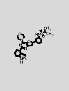 CC(C)S(=O)(=O)Nc1cccc(C2Cc3nc(-c4cccc5[nH]ncc45)nc(N4CCOCC4)c3S2)c1